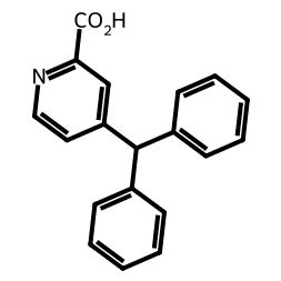 O=C(O)c1cc(C(c2ccccc2)c2ccccc2)ccn1